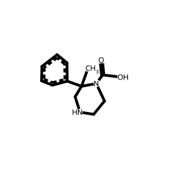 CC1(c2ccccc2)CNCCN1C(=O)O